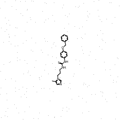 Cc1cncn1CCCNC(=S)Nc1ccc(OCc2ccccc2)cc1